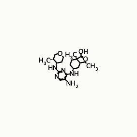 CCC1C[C@@H](Nc2nc(N[C@@H]3CCOC[C@H]3C)ncc2N)CC[C@]1(C)C(=O)O